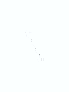 OC[CH]COCCO